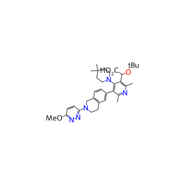 COc1ccc(N2CCc3cc(-c4c(C)nc(C)c(C(OC(C)(C)C)C(=O)O)c4N4CCC(C)(C)CC4)ccc3C2)nn1